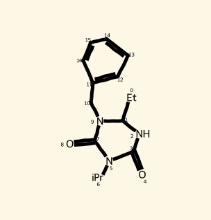 CCC1NC(=O)N(C(C)C)C(=O)N1Cc1ccccc1